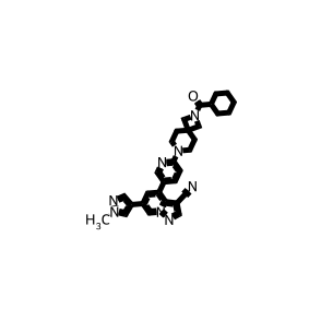 Cn1cc(-c2cc(-c3ccc(N4CCC5(CC4)CN(C(=O)C4CCCCC4)C5)nc3)c3c(C#N)cnn3c2)cn1